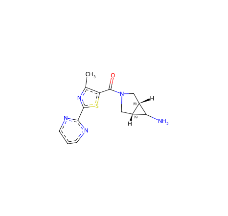 Cc1nc(-c2ncccn2)sc1C(=O)N1C[C@@H]2C(N)[C@@H]2C1